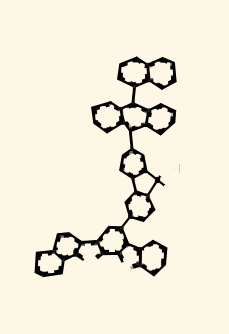 CC1(C)c2ccc(-c3cc4c5ccc6ccccc6c5oc4c4oc5ccccc5c34)cc2-c2ccc(-c3c4ccccc4c(-c4cccc5ccccc45)c4ccccc34)cc21